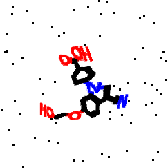 N#Cc1cn(-c2ccc(C(=O)O)cc2)c2cc(OCCO)ccc12